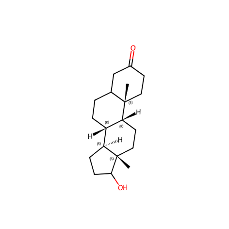 C[C@]12CCC(=O)CC1CC[C@@H]1[C@H]2CC[C@]2(C)C(O)CC[C@@H]12